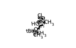 CN(CC(O)CO[Si](C)(C)C(C)(C)C)S(=O)(=O)CCl